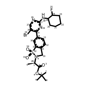 C[C@H](C(=O)OC(C)(C)C)N1Cc2ccc(-c3nc(NC4CCCCC4F)ncc3Br)cc2S1(=O)=O